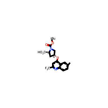 Cc1ccc2nc(C(F)(F)F)cc(O[C@@H]3C[C@@H](C(=O)O)N(C(=O)OC(C)(C)C)C3)c2c1